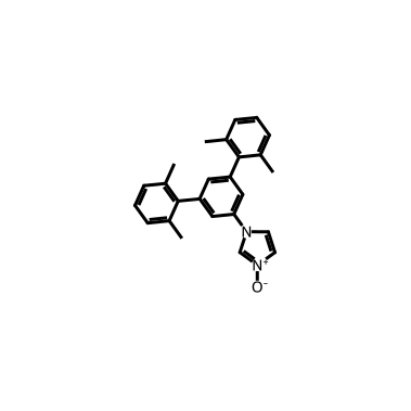 Cc1cccc(C)c1-c1cc(-c2c(C)cccc2C)cc(-n2cc[n+]([O-])c2)c1